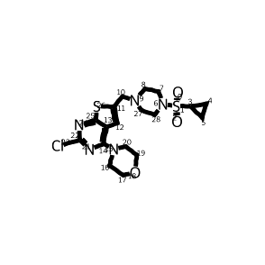 O=S(=O)(C1CC1)N1CCN(Cc2cc3c(N4CCOCC4)nc(Cl)nc3s2)CC1